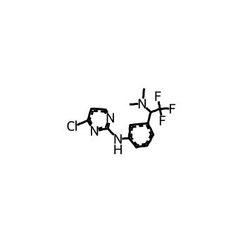 CN(C)C(c1cccc(Nc2nccc(Cl)n2)c1)C(F)(F)F